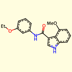 CCOc1cccc(NC(=O)c2c[nH]c3cccc(OC)c23)c1